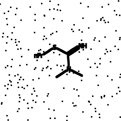 CCCSC(=N)N(C)C